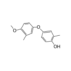 COc1ccc(Oc2ccc(O)c(C)c2)cc1C